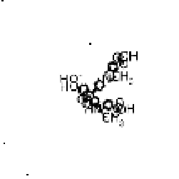 CCC(Nc1ccc(C(=C2C=CC(=[N+](CC)Cc3ccc(S(=O)(=O)O)cc3)C=C2)c2ccc(O)cc2S(=O)(=O)O)cc1)c1cccc(S(=O)(=O)O)c1.[OH-]